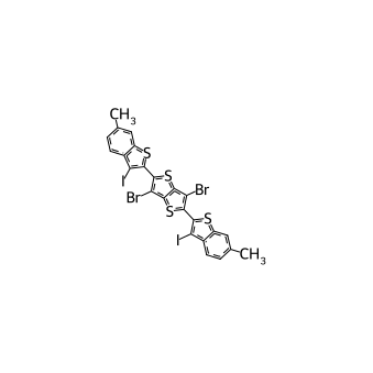 Cc1ccc2c(I)c(-c3sc4c(Br)c(-c5sc6cc(C)ccc6c5I)sc4c3Br)sc2c1